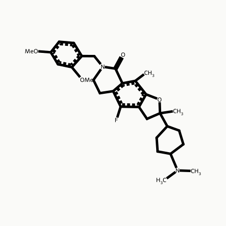 COc1ccc(CN2CCc3c(F)c4c(c(C)c3C2=O)OC(C)(C2CCC(N(C)C)CC2)C4)c(OC)c1